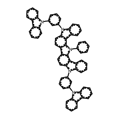 c1ccc(-n2c3c(ccc4c3c3ccccc3n4-c3cccc(-n4c5ccccc5c5ccccc54)c3)c3ccc4c(c5ccccc5n4-c4cccc(-n5c6ccccc6c6ccccc65)c4)c32)cc1